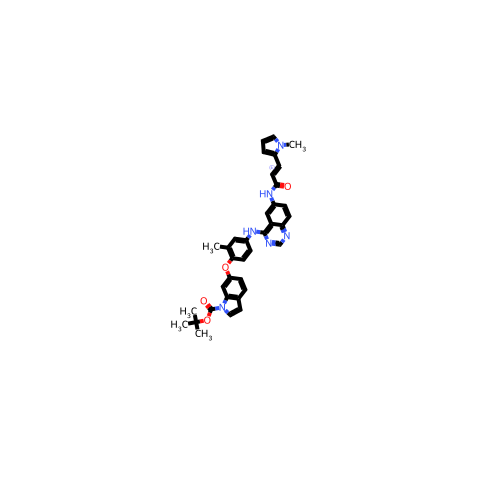 Cc1cc(Nc2ncnc3ccc(NC(=O)/C=C/c4cccn4C)cc23)ccc1Oc1ccc2ccn(C(=O)OC(C)(C)C)c2c1